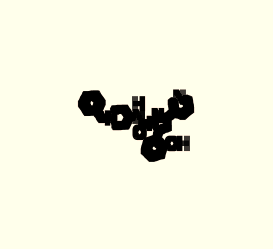 O=C(NC1CCN(Cc2ccccc2)CC1)N1N=C(c2cccnc2)CC1c1ccccc1O